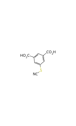 N#CSc1cc(C(=O)O)cc(C(=O)O)c1